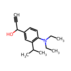 C#CC(O)c1ccc(N(CC)CC)c(C(C)C)c1